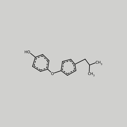 CC(C)Cc1ccc(Oc2ccc(O)cc2)cc1